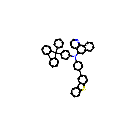 c1ccc(C2(c3ccc(N(c4ccc(-c5ccc6sc7ccccc7c6c5)cc4)c4cc5ccccc5c5ncccc45)cc3)c3ccccc3-c3ccccc32)cc1